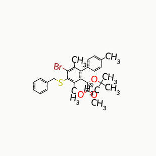 COC(=O)[C@@H](OC(C)(C)C)c1c(C)c(SCc2ccccc2)c(Br)c(C)c1-c1ccc(C)cc1